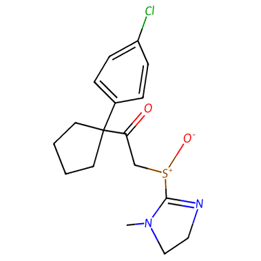 CN1CCN=C1[S+]([O-])CC(=O)C1(c2ccc(Cl)cc2)CCCC1